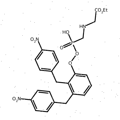 CCOC(=O)CNCP(=O)(O)OOc1cccc(Cc2ccc([N+](=O)[O-])cc2)c1Cc1ccc([N+](=O)[O-])cc1